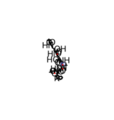 C/C(=C\C(C(C)C)N(C)C(=O)C(NC(=O)C(N(C)C(=O)OC(C)(C)C)C(C)(C)c1cn(C)c2ccccc12)C(C)(C)C)C(=O)NC(CCC(=O)NC(CCCCNC(=O)OC(C)(C)C)C(=O)O)C(=O)O